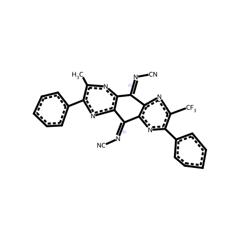 Cc1nc2c(nc1-c1ccccc1)/C(=N\C#N)c1nc(-c3ccccc3)c(C(F)(F)F)nc1/C2=N\C#N